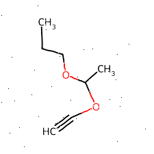 C#COC(C)OCCC